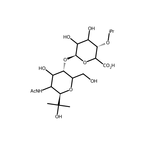 CC(=O)NC1C(O)[C@H](O[C@@H]2OC(C(=O)O)[C@@H](OC(C)C)C(O)C2O)C(CO)O[C@H]1C(C)(C)O